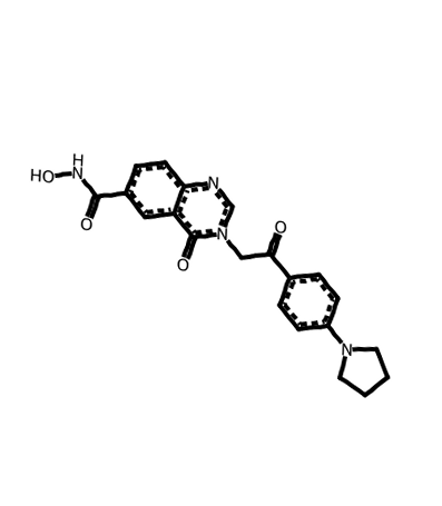 O=C(Cn1cnc2ccc(C(=O)NO)cc2c1=O)c1ccc(N2CCCC2)cc1